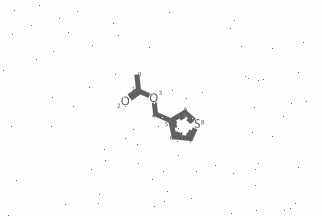 CC(=O)OCc1ccsc1